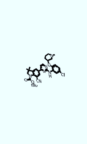 CN1CCCC(Oc2ccc(Cl)cc2Nc2nccc(-c3cc(C#N)c4c(c3)C(C)(C)CN4C(=O)OC(C)(C)C)n2)C1